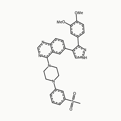 COc1ccc(-c2n[nH]cc2-c2ccc3ncnc(N4CCN(c5cccc(S(C)(=O)=O)c5)CC4)c3c2)cc1OC